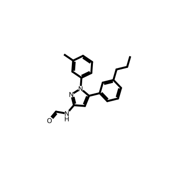 CCCc1cccc(-c2cc(NC=O)nn2-c2cccc(C)c2)c1